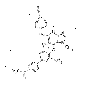 CC(=O)c1ccc(-c2cc(C)c(Oc3nc(Nc4ccc(C#N)cc4)nc4ncn(C)c34)c(C)c2)cn1